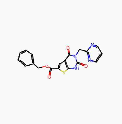 O=C(OCc1ccccc1)c1cc2c(=O)n(Cc3ncccn3)c(=O)[nH]c2s1